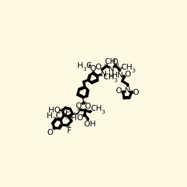 CCC1(C(=O)CO)O[C@H](c2ccc(Cc3ccc(N(C)C(=O)[C@H](C)NC(=O)[C@H](C)NC(=O)CCN4C(=O)C=CC4=O)c(OC)c3)cc2)O[C@@H]1C[C@@H]1CC[C@H](O)[C@@]2(F)[C@H]1C[C@H](F)C1=CC(=O)C=C[C@@]12C